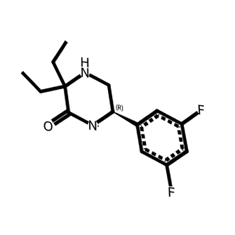 CCC1(CC)NC[C@@H](c2cc(F)cc(F)c2)[N]C1=O